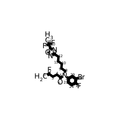 C=C(F)CCC(=O)N(CCCCCc1noc(C(C)(F)F)n1)c1ccc(F)c(Br)c1